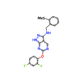 CSc1ccccc1CNc1n[nH]c2nc(Oc3ccc(F)cc3F)ncc12